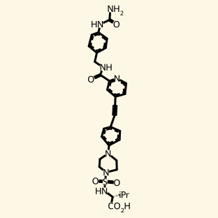 CC(C)[C@@H](NS(=O)(=O)N1CCN(c2ccc(C#Cc3ccnc(C(=O)NCc4ccc(NC(N)=O)cc4)c3)cc2)CC1)C(=O)O